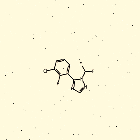 Fc1c(Cl)cccc1-c1ncnn1C(F)F